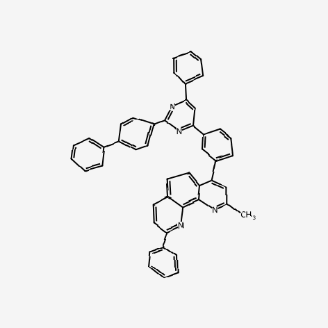 Cc1cc(-c2cccc(-c3cc(-c4ccccc4)nc(-c4ccc(-c5ccccc5)cc4)n3)c2)c2ccc3ccc(-c4ccccc4)nc3c2n1